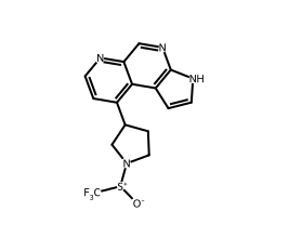 [O-][S+](N1CCC(c2ccnc3cnc4[nH]ccc4c23)C1)C(F)(F)F